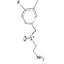 Cc1cc(C[S+]([O-])CCN)ccc1F